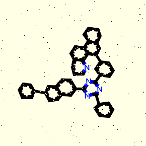 c1ccc(-c2ccc3cc(-c4nc(-c5ccccc5)nc(-c5cccc(-c6cc7ccccc7c7ccc8cccnc8c67)c5)n4)ccc3c2)cc1